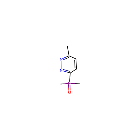 Cc1ccc(P(C)(C)=O)nn1